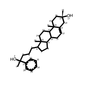 CC(O)(CCCC1CCC2C3CC=C4C[C@@](C)(O)CCC4(C)C3CCC12C)c1ccccc1